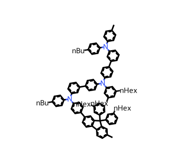 CCCCCCc1cc(CCCCCC)cc(N(c2ccc(-c3cccc(N(c4ccc(C)cc4)c4ccc(CCCC)cc4)c3)cc2)c2ccc(-c3cccc(N(c4ccc(CCCC)cc4)c4ccc(-c5ccc6c(c5)C(c5cccc(CCCCCC)c5)(c5cccc(CCCCCC)c5)c5cc(C)ccc5-6)cc4)c3)cc2)c1